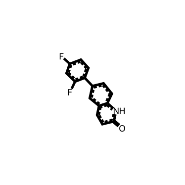 O=c1ccc2cc(-c3ccc(F)cc3F)ccc2[nH]1